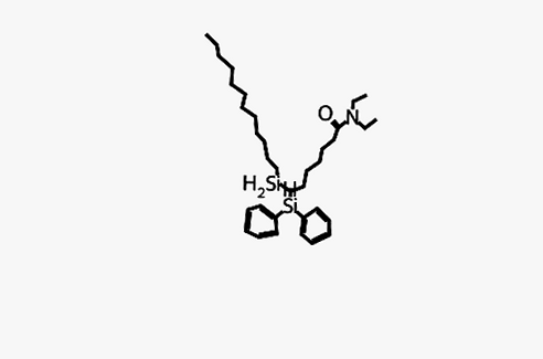 CCCCCCCCCCCC[SiH2]C(CCCCCC(=O)N(CC)CC)[SiH](c1ccccc1)c1ccccc1